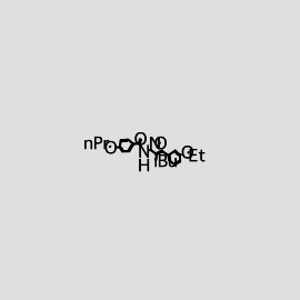 CCCOc1ccc(C(=O)Nc2noc(-c3cccc(OCC)c3)c2C(C)CC)cc1